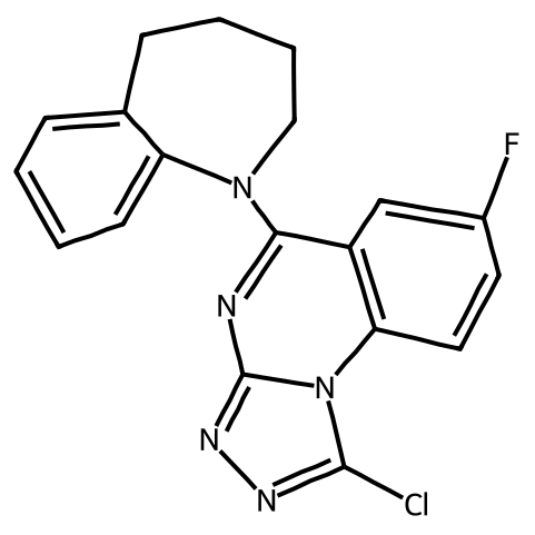 Fc1ccc2c(c1)c(N1CCCCc3ccccc31)nc1nnc(Cl)n12